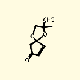 CC1(C=O)COC2(C=CC(=O)C2)O1